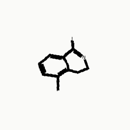 Cc1cccc2c1CCN=C2I